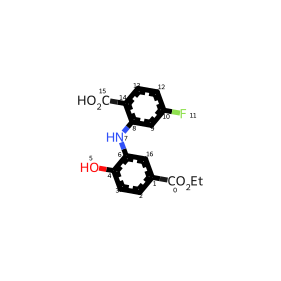 CCOC(=O)c1ccc(O)c(Nc2cc(F)ccc2C(=O)O)c1